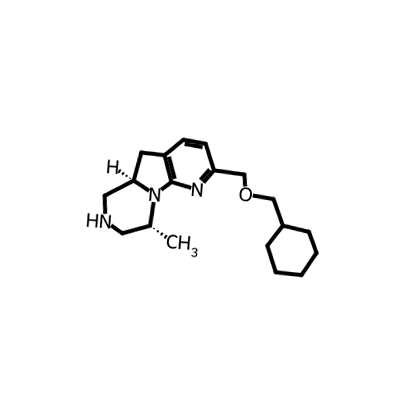 C[C@@H]1CNC[C@H]2Cc3ccc(COCC4CCCCC4)nc3N21